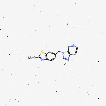 CSc1nc2ccc(Cn3cnc4ccncc43)cc2s1